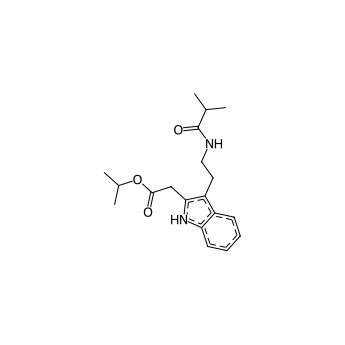 CC(C)OC(=O)Cc1[nH]c2ccccc2c1CCNC(=O)C(C)C